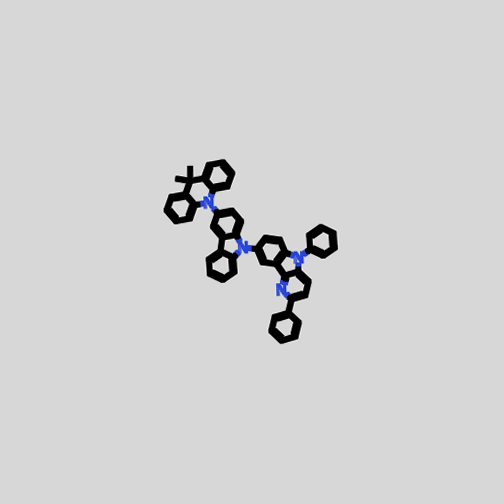 CC1(C)c2ccccc2N(c2ccc3c(c2)c2ccccc2n3-c2ccc3c(c2)c2nc(-c4ccccc4)ccc2n3-c2ccccc2)c2ccccc21